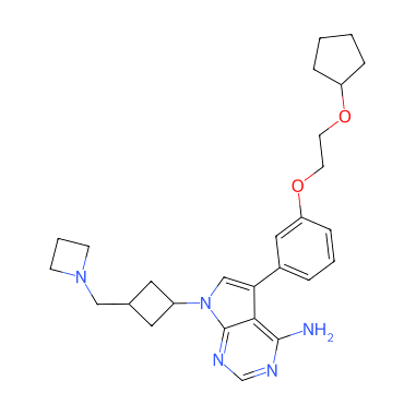 Nc1ncnc2c1c(-c1cccc(OCCOC3CCCC3)c1)cn2C1CC(CN2CCC2)C1